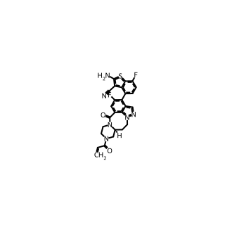 C=CC(=O)N1CCN2C(=O)c3cc(F)c(-c4ccc(F)c5sc(N)c(C#N)c45)c4cnn(c34)CC[C@@H]2C1